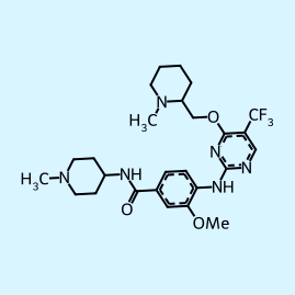 COc1cc(C(=O)NC2CCN(C)CC2)ccc1Nc1ncc(C(F)(F)F)c(OCC2CCCCN2C)n1